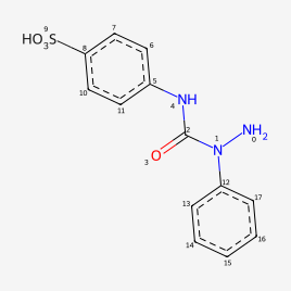 NN(C(=O)Nc1ccc(S(=O)(=O)O)cc1)c1ccccc1